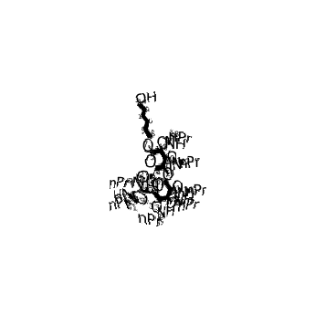 CCCNOC[C@@H]1O[C@H](OCCCCCCO)[C@@H](ONCCC)[C@H](ONCCC)[C@H]1O[C@@H]1O[C@H](CONCCC)[C@H](ONCCC)[C@H](ONCCC)[C@H]1ONCCC